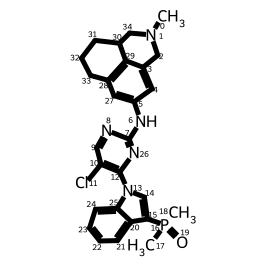 CN1Cc2cc(Nc3ncc(Cl)c(-n4cc(P(C)(C)=O)c5ccccc54)n3)cc3c2C(CCC3)C1